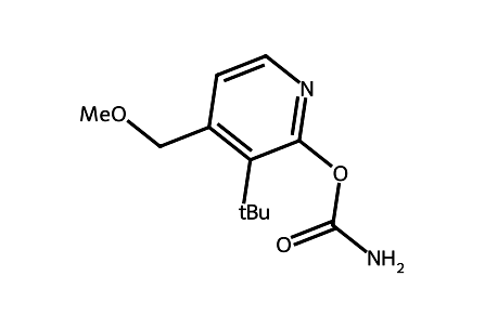 COCc1ccnc(OC(N)=O)c1C(C)(C)C